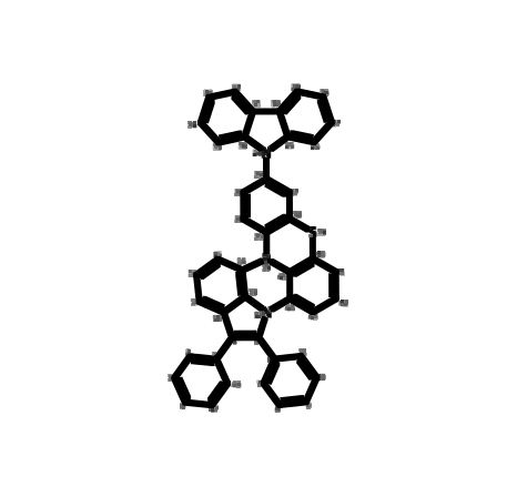 c1ccc(-c2c(-c3ccccc3)n3c4c(cccc24)B2c4ccc(-n5c6ccccc6c6ccccc65)cc4Sc4cccc-3c42)cc1